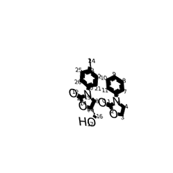 O=C1OCCN1c1ccccc1.O=C1O[C@@H](CO)CN1c1ccc(I)cc1